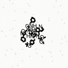 CCOC(CN(Cc1cccc2ncccc12)C(=O)[C@H](Cc1ccc(OC(C)(C)C)cc1)NC(=O)CN(Cc1cc(-c2ccccc2)no1)NC(=O)NCc1ccccc1)OCC